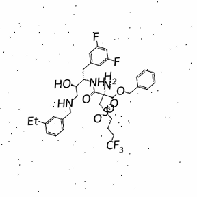 CCc1cccc(CNC[C@@H](O)[C@H](Cc2cc(F)cc(F)c2)NC(=O)[C@](N)(CS(=O)(=O)CCCC(F)(F)F)C(=O)OCc2ccccc2)c1